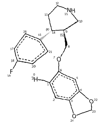 [3H]c1cc2c(cc1OC[C@@H]1CNCC[C@H]1c1ccc(F)cc1)OCO2